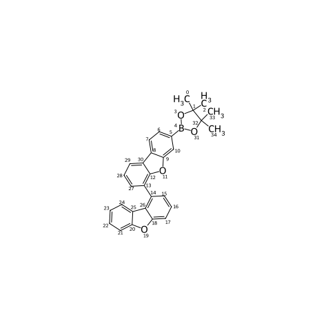 CC1(C)OB(c2ccc3c(c2)oc2c(-c4cccc5oc6ccccc6c45)cccc23)OC1(C)C